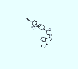 COc1ccccc1C1(NCC(=O)N2CC3C[C@H](C)C(C2)N3c2ccc(C#N)cn2)CC1